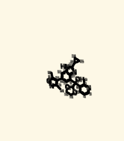 Cc1ncccc1C(O)(c1cc(-c2c(C)noc2C)cc2[nH]c(C3CC3)nc12)C1OCCO1